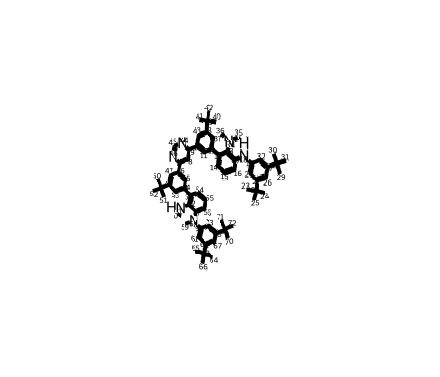 CNc1c(-c2cc(-c3cc(-c4cc(-c5cccc(Nc6cc(C(C)(C)C)cc(C(C)(C)C)c6)c5N(C)C)cc(C(C)(C)C)c4)ncn3)cc(C(C)(C)C)c2)cccc1N(C)c1cc(C(C)(C)C)cc(C(C)(C)C)c1